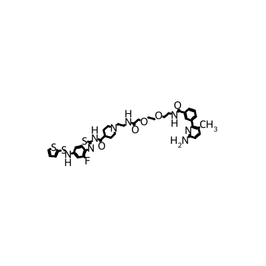 Cc1ccc(N)nc1-c1cccc(C(=O)NCCOCCOCC(=O)NCCN2CCC(C(=O)Nc3nc4c(F)cc(NSc5cccs5)cc4s3)CC2)c1